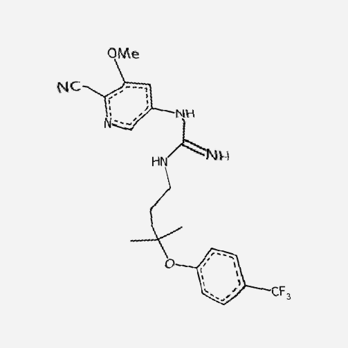 COc1cc(NC(=N)NCCC(C)(C)Oc2ccc(C(F)(F)F)cc2)cnc1C#N